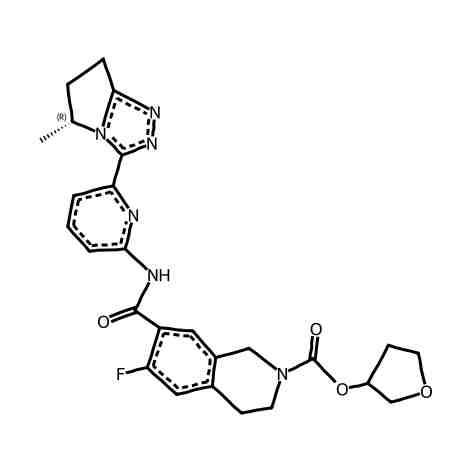 C[C@@H]1CCc2nnc(-c3cccc(NC(=O)c4cc5c(cc4F)CCN(C(=O)OC4CCOC4)C5)n3)n21